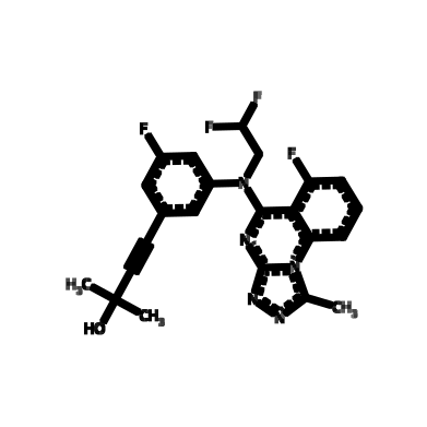 Cc1nnc2nc(N(CC(F)F)c3cc(F)cc(C#CC(C)(C)O)c3)c3c(F)cccc3n12